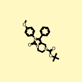 COc1ccc(-n2c(-c3ccccc3)c3n(c2=O)CCN(C(=O)OC(C)(C)C)C3)cc1